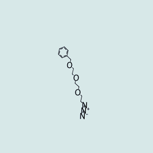 [N-]=[N+]=NCCOCCOCCOCc1ccccc1